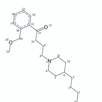 CCCCC1CCN(CCCC(=O)c2ccccc2COC)CC1